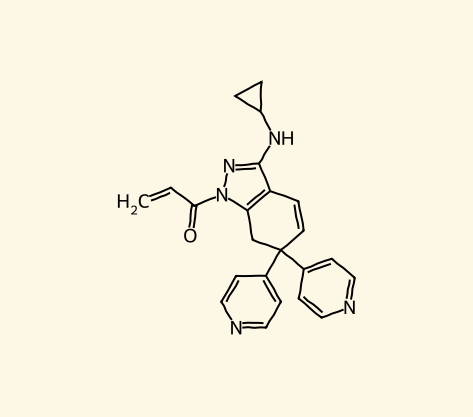 C=CC(=O)n1nc(NC2CC2)c2c1CC(c1ccncc1)(c1ccncc1)C=C2